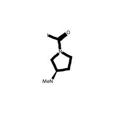 CN[C@@H]1CCN(C(=O)I)C1